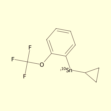 FC(F)(F)Oc1cccc[c]1[10Sn][CH]1CC1